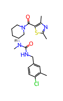 Cc1nc(C)c(C(=O)N2CCC[C@@H](N(C)C(=O)NCc3ccc(Cl)c(C)c3)C2)s1